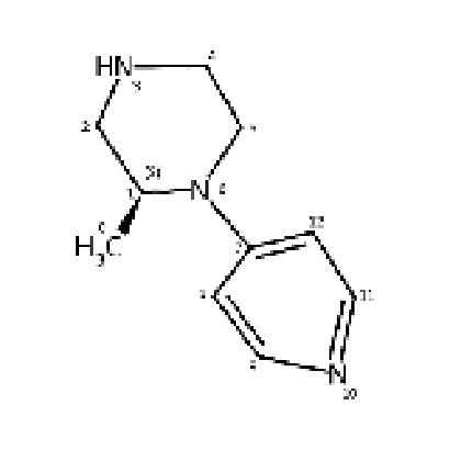 C[C@H]1CNCCN1c1ccncc1